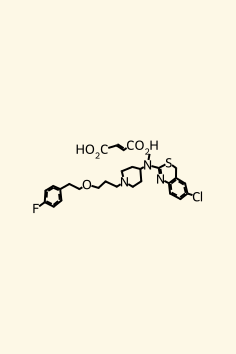 CN(C1=Nc2ccc(Cl)cc2CS1)C1CCN(CCCOCCc2ccc(F)cc2)CC1.O=C(O)C=CC(=O)O